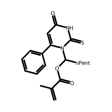 C=C(C)C(=O)OC(CCCCC)n1c(-c2ccccc2)cc(=O)[nH]c1=S